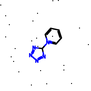 c1cc[n+](C2N=NN=N2)cc1